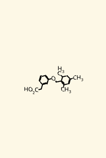 CC1=CC(C)=C(COc2cccc(CC(=O)O)c2)C(C)C1